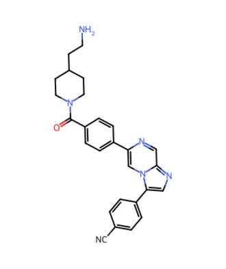 N#Cc1ccc(-c2cnc3cnc(-c4ccc(C(=O)N5CCC(CCN)CC5)cc4)cn23)cc1